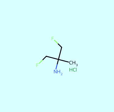 CC(N)(CF)CF.Cl